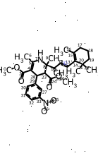 COC(=O)C1=C(C)NC(C)(C(C)/C=C/C2=C(C)CCCC2(C)C)C(C(=O)OC)C1c1cccc([N+](=O)[O-])c1